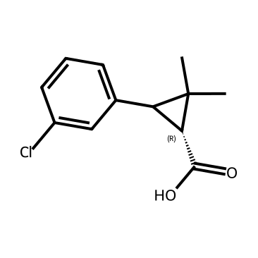 CC1(C)C(c2cccc(Cl)c2)[C@H]1C(=O)O